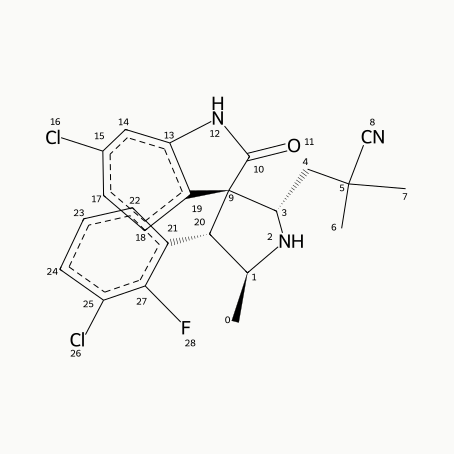 C[C@@H]1N[C@@H](CC(C)(C)C#N)[C@@]2(C(=O)Nc3cc(Cl)ccc32)[C@H]1c1cccc(Cl)c1F